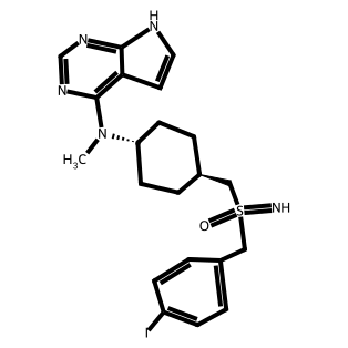 CN(c1ncnc2[nH]ccc12)[C@H]1CC[C@H](CS(=N)(=O)Cc2ccc(I)cc2)CC1